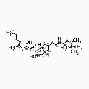 CCCC[C@H](C)C[C@H](O)/C=C/[C@@H]1[C@H]2CC(CCNCCN(C)C(C)(C)C)=C[C@H]2C[C@H]1O